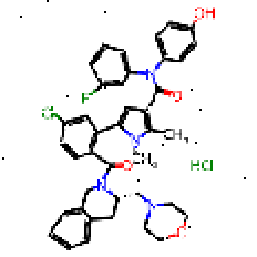 Cc1c(C(=O)N(c2ccc(O)cc2)c2cccc(F)c2)cc(-c2cc(Cl)ccc2C(=O)N2Cc3ccccc3C[C@H]2CN2CCOCC2)n1C.Cl